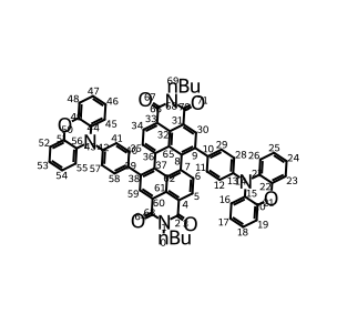 CCCCN1C(=O)c2ccc3c4c(-c5ccc(N6c7ccccc7Oc7ccccc76)cc5)cc5c6c(ccc(c7c(-c8ccc(N9c%10ccccc%10Oc%10ccccc%109)cc8)cc(c2c37)C1=O)c64)C(=O)N(CCCC)C5=O